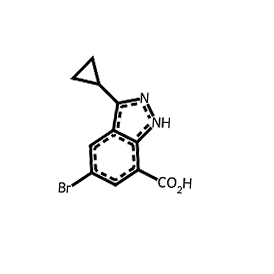 O=C(O)c1cc(Br)cc2c(C3CC3)n[nH]c12